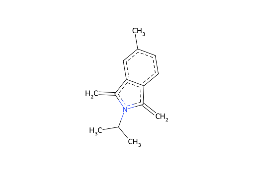 C=c1c2ccc(C)cc2c(=C)n1C(C)C